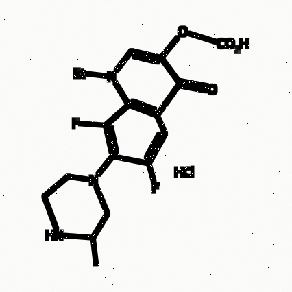 CCn1cc(OC(=O)O)c(=O)c2cc(F)c(N3CCNC(C)C3)c(F)c21.Cl